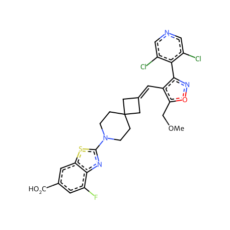 COCc1onc(-c2c(Cl)cncc2Cl)c1C=C1CC2(CCN(c3nc4c(F)cc(C(=O)O)cc4s3)CC2)C1